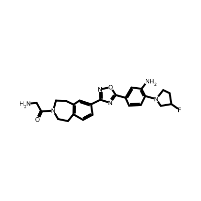 NCC(=O)N1CCc2ccc(-c3noc(-c4ccc(N5CCC(F)C5)c(N)c4)n3)cc2CC1